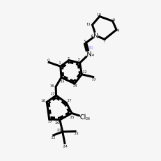 Cc1cc(/N=C/N2CCCCC2)c(C)cc1Cc1ccc(C(C)(C)C)c(Cl)c1